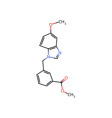 COC(=O)c1cccc(Cn2cnc3cc(OC)ccc32)c1